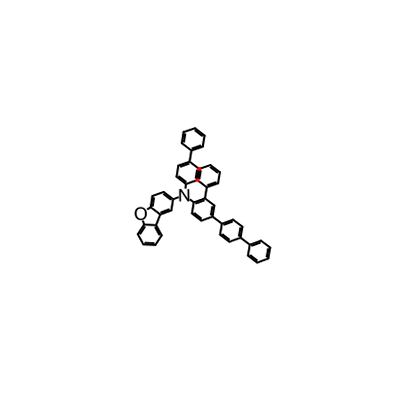 c1ccc(-c2ccc(-c3ccc(N(c4ccc(-c5ccccc5)cc4)c4ccc5oc6ccccc6c5c4)c(-c4ccccc4)c3)cc2)cc1